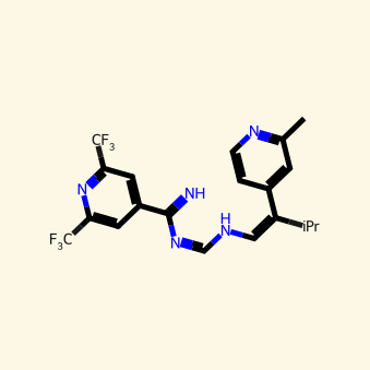 Cc1cc(/C(=C\N/C=N\C(=N)c2cc(C(F)(F)F)nc(C(F)(F)F)c2)C(C)C)ccn1